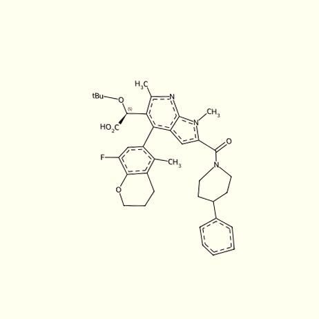 Cc1nc2c(cc(C(=O)N3CCC(c4ccccc4)CC3)n2C)c(-c2cc(F)c3c(c2C)CCCO3)c1[C@H](OC(C)(C)C)C(=O)O